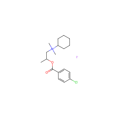 CC(C[N+](C)(C)C1CCCCC1)OC(=O)c1ccc(Cl)cc1.[I-]